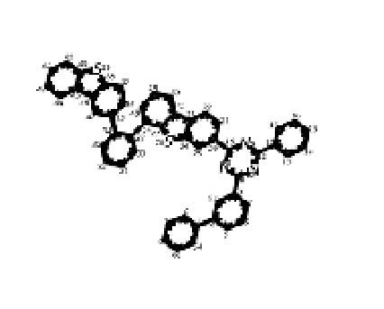 c1ccc(-c2cccc(-c3nc(-c4ccccc4)nc(-c4ccc5c(c4)sc4c(-c6ccccc6-c6ccc7sc8ccccc8c7c6)cccc45)n3)c2)cc1